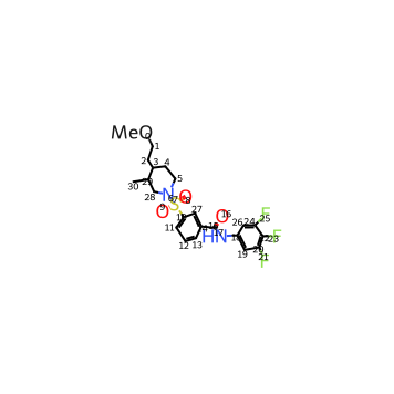 COCCC1CCN(S(=O)(=O)c2cccc(C(=O)Nc3cc(F)c(F)c(F)c3)c2)CC1C